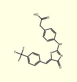 O=C(O)Cc1ccc(NC2=NC(=O)/C(=C/c3ccc(C(F)(F)F)cc3)S2)cc1